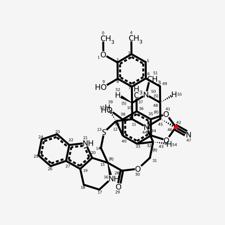 COc1c(C)cc2c(c1O)[C@H]1C3[C@@H]4SC[C@]5(NCCc6c5[nH]c5ccccc65)C(=O)OC[C@@H](c5c6c(c(C)c(O)c54)OCO6)N3[C@@H](C#N)[C@H](C2)N1C